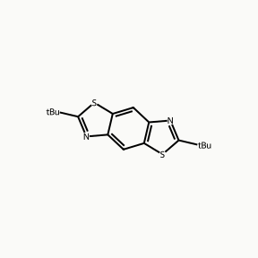 CC(C)(C)c1nc2cc3sc(C(C)(C)C)nc3cc2s1